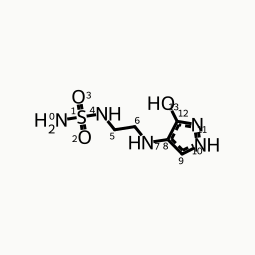 NS(=O)(=O)NCCNc1c[nH]nc1O